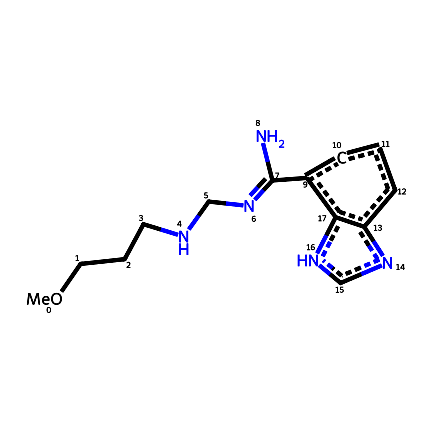 COCCCNCN=C(N)c1cccc2nc[nH]c12